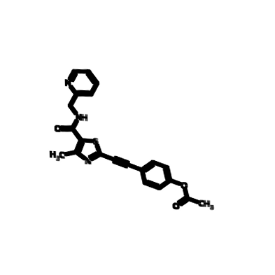 CC(=O)Oc1ccc(C#Cc2nc(C)c(C(=O)NCc3ccccn3)s2)cc1